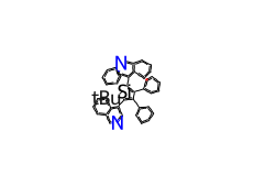 CC(C)(C)[Si]1(c2ccccc2)C(c2cncc3ccccc23)=C(c2ccccc2)C(c2ccccc2)=C1c1cncc2ccccc12